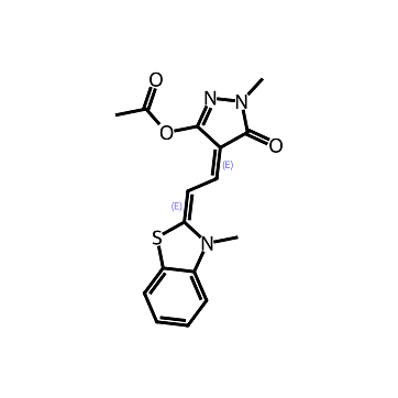 CC(=O)OC1=NN(C)C(=O)/C1=C/C=C1/Sc2ccccc2N1C